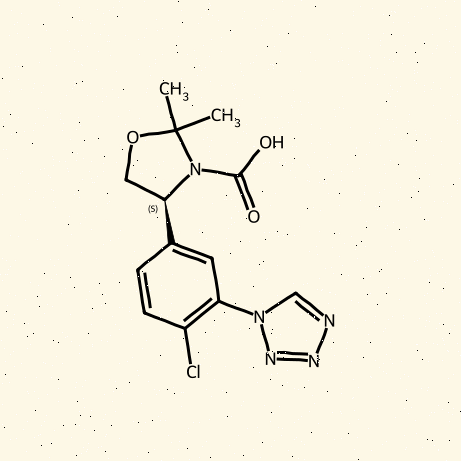 CC1(C)OC[C@H](c2ccc(Cl)c(-n3cnnn3)c2)N1C(=O)O